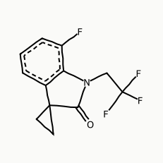 O=C1N(CC(F)(F)F)c2c(F)cccc2C12CC2